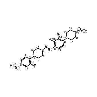 CCOc1ccc(C2CCC(COc3ccc(C4CCC(OCC)CC4)c(F)c3F)CC2)c(F)c1